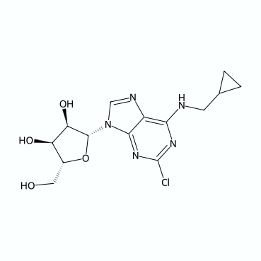 OC[C@H]1O[C@@H](n2cnc3c(NCC4CC4)nc(Cl)nc32)[C@H](O)[C@@H]1O